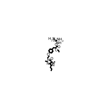 CCCc1nn(C)c2c(=O)n(CCOc3ccc(CC(OCC)C(=O)ONC(N)=NN)cc3)c(C)nc12